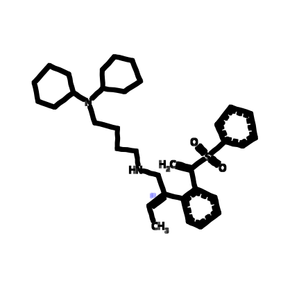 C=C(c1ccccc1/C(=C\C)CNCCCCN(C1CCCCC1)C1CCCCC1)S(=O)(=O)c1ccccc1